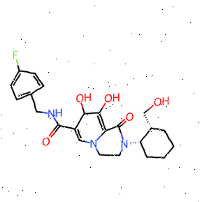 O=C(NCc1ccc(F)cc1)C1=CN2CCN([C@H]3CCCC[C@H]3CO)C(=O)C2=C(O)C1O